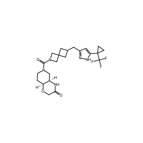 O=C1CO[C@H]2CCN(C(=O)N3CC4(CC(Cc5cc(C6(C(F)(F)F)CC6)[nH]n5)C4)C3)C[C@H]2N1